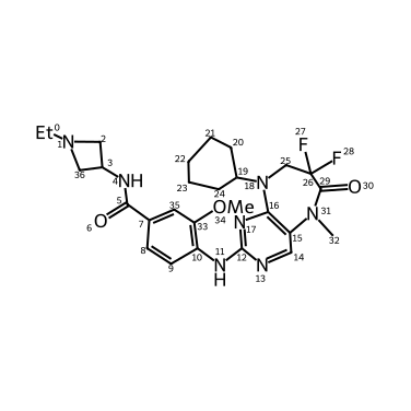 CCN1CC(NC(=O)c2ccc(Nc3ncc4c(n3)N(C3CCCCC3)CC(F)(F)C(=O)N4C)c(OC)c2)C1